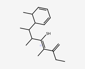 C=C(CC)/C(C)=C(\S)C(C)C(C)C1C=CC=CC1C